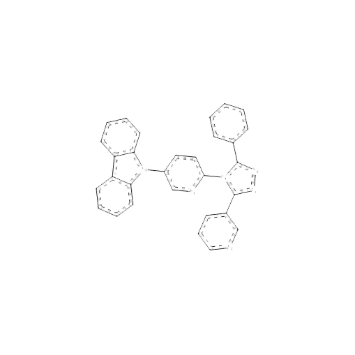 c1ccc(-c2nnc(-c3cccnc3)n2-c2ccc(-n3c4ccccc4c4ccccc43)cn2)cc1